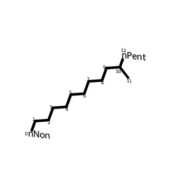 CCCCCCCCCCCCCCCCCCC(C)CCCCC